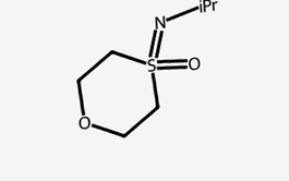 CC(C)N=S1(=O)CCOCC1